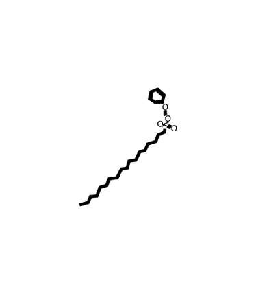 CCCCCCCCCCCCCCCCCCS(=O)(=O)OCOc1ccccc1